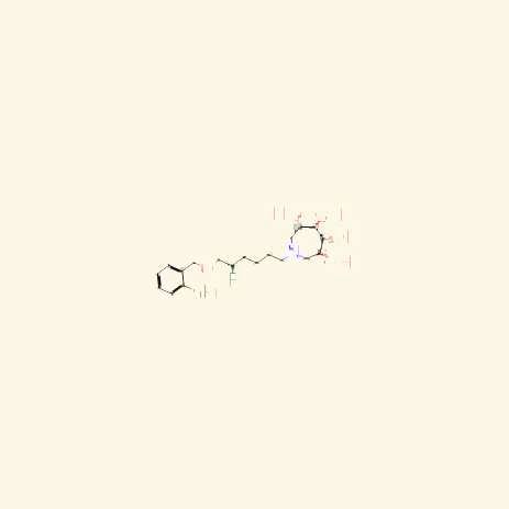 CCCc1ccccc1COCC(F)CCCCN1C[C@H](O)[C@@H](O)[C@H](O)[C@@H](O)C1